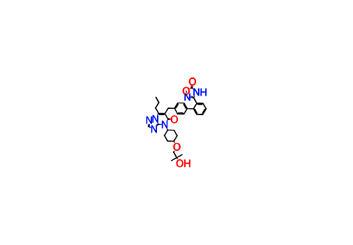 CCCc1c(Cc2ccc(-c3ccccc3-c3noc(=O)[nH]3)cc2)c(=O)n(C2CCC(OCC(C)(C)O)CC2)c2ncnn12